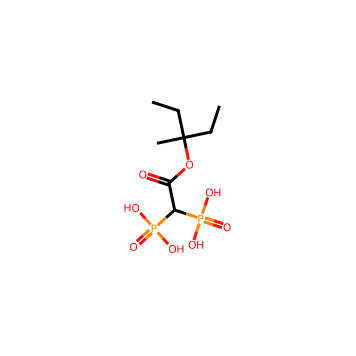 CCC(C)(CC)OC(=O)C(P(=O)(O)O)P(=O)(O)O